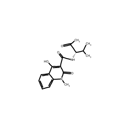 CC(=O)[C@@H](NC(=O)c1c(O)c2ccccc2n(C)c1=O)C(C)C